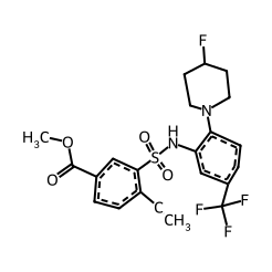 CCc1ccc(C(=O)OC)cc1S(=O)(=O)Nc1cc(C(F)(F)F)ccc1N1CCC(F)CC1